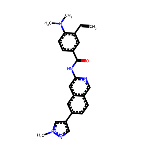 C=Cc1cc(C(=O)Nc2cc3cc(-c4cnn(C)c4)ccc3cn2)ccc1N(C)C